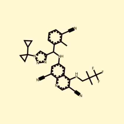 Cc1c(C#N)cccc1C(Nc1cc(C#N)c2ncc(C#N)c(NCC(C)(C)C(F)(F)F)c2c1)c1cn(C2(C3CC3)CC2)nn1